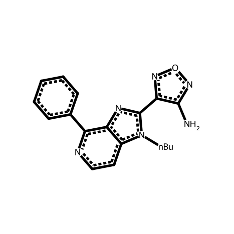 CCCCn1c(-c2nonc2N)nc2c(-c3ccccc3)nccc21